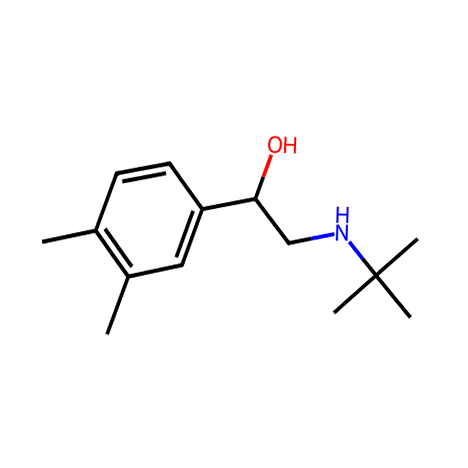 Cc1ccc(C(O)CNC(C)(C)C)cc1C